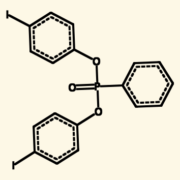 O=P(Oc1ccc(I)cc1)(Oc1ccc(I)cc1)c1ccccc1